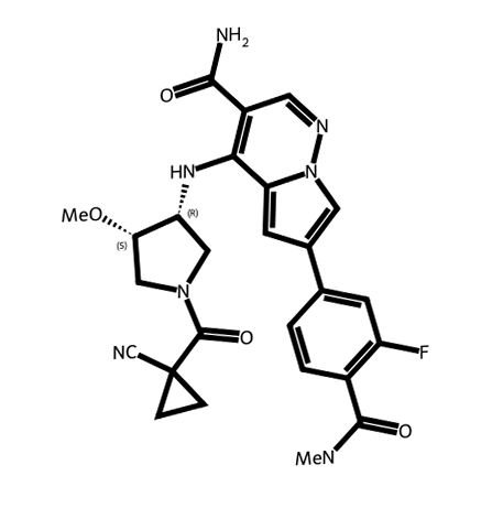 CNC(=O)c1ccc(-c2cc3c(N[C@@H]4CN(C(=O)C5(C#N)CC5)C[C@@H]4OC)c(C(N)=O)cnn3c2)cc1F